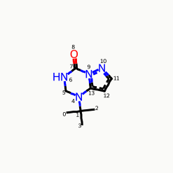 CC(C)(C)N1CNC(=O)n2nccc21